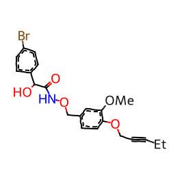 CCC#CCOc1ccc(CONC(=O)C(O)c2ccc(Br)cc2)cc1OC